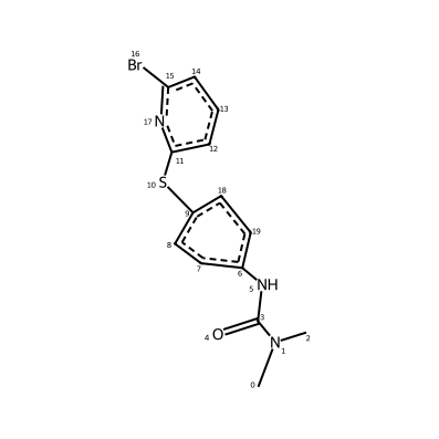 CN(C)C(=O)Nc1ccc(Sc2cccc(Br)n2)cc1